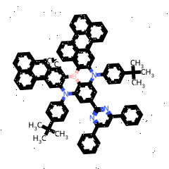 CC(C)(C)c1ccc(N2c3cc(-c4nc(-c5ccccc5)cc(-c5ccccc5)n4)cc4c3B(c3c2cc2c5cccc6cccc(c7cccc3c72)c65)c2c(cc3c5cccc6cccc(c7cccc2c73)c65)N4c2ccc(C(C)(C)C)cc2)cc1